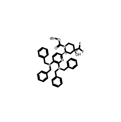 CC(C)(C)OC(=O)N1CC[C@](O)(C(F)F)C[C@H]1c1ccc(N(Cc2ccccc2)Cc2ccccc2)c(N(Cc2ccccc2)Cc2ccccc2)n1